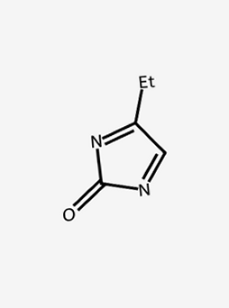 CCC1=NC(=O)N=C1